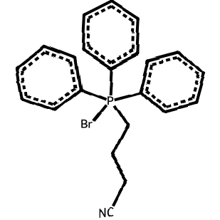 N#CCCCP(Br)(c1ccccc1)(c1ccccc1)c1ccccc1